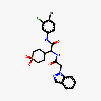 CC(C)(C)c1ccc(NC(=O)C(NC(=O)Cn2ncc3ccccc32)C2CCS(=O)(=O)CC2)cc1F